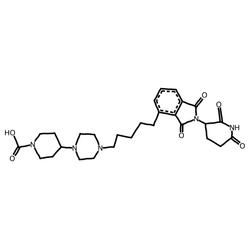 O=C1CCC(N2C(=O)c3cccc(CCCCCN4CCN(C5CCN(C(=O)O)CC5)CC4)c3C2=O)C(=O)N1